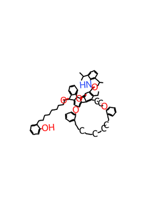 C=C1C2=C(C=C(C=O)C1C)Oc1ccccc1CCCCCCCCCCc1ccccc1OCCc1c(CC)c(C(=O)Nc3c(C(C)C)cccc3C(C)C)cc(Oc3ccccc3CCCCCCCCCCc3ccccc3O)c12